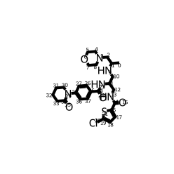 CC(CN1CCOCC1)NCC(CNC(=O)c1ccc(Cl)s1)NC(=O)c1ccc(N2CCCCC2=O)cc1